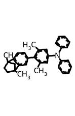 Cc1cc(N(c2ccccc2)c2ccccc2)cc(C)c1-c1ccc2c(c1)C1(C)CCC2(C)C1